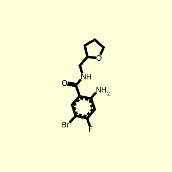 Nc1cc(F)c(Br)cc1C(=O)NCC1CCCO1